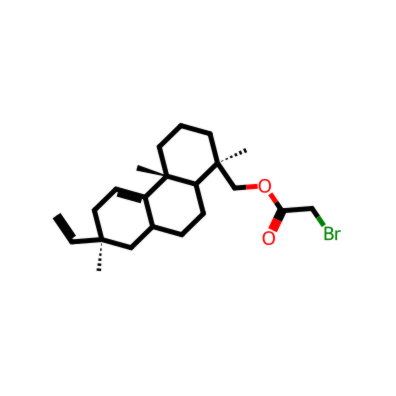 C=C[C@@]1(C)CC=C2C(CCC3[C@](C)(COC(=O)CBr)CCC[C@@]23C)C1